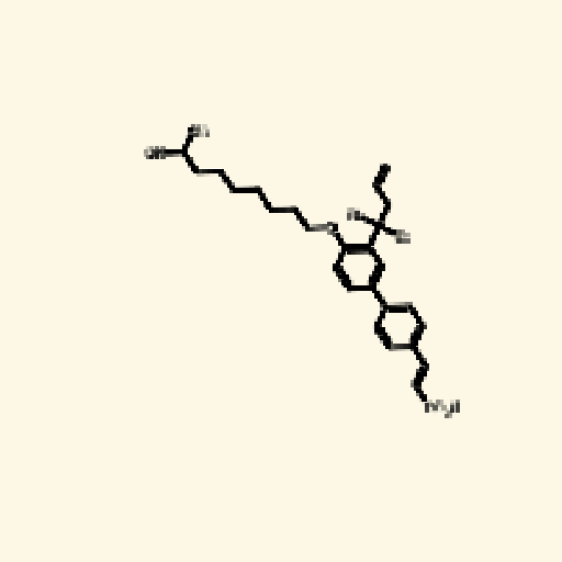 C=CCC(CC)(CC)c1cc(-c2ccc(/C=C/C(=O)O)cc2)ccc1OCCCCCCCC(O)N=O